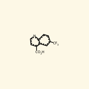 O=C(O)c1ccnc2ccc(C(F)(F)F)cc12